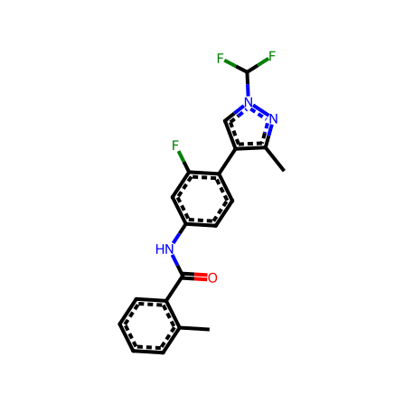 Cc1ccccc1C(=O)Nc1ccc(-c2cn(C(F)F)nc2C)c(F)c1